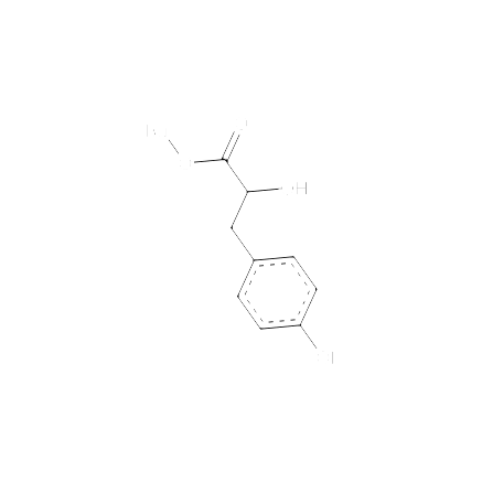 CC(C)(C)OC(=O)C(O)Cc1ccc(O)cc1